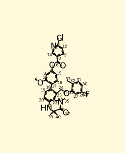 COc1cc(OC(=O)c2ccc(Cl)nc2)ccc1-c1ccc2c(c1COc1cc(F)ccc1C)N(C)C(=O)C(C)(C)N2